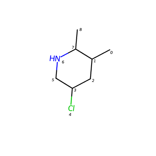 CC1CC(Cl)CNC1C